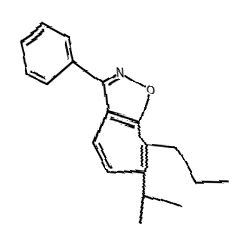 CCCc1c(C(C)C)ccc2c(-c3ccccc3)noc12